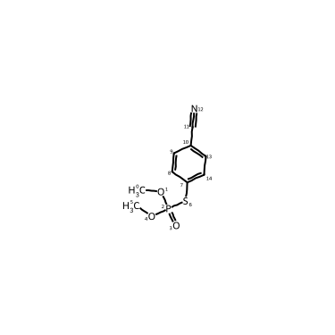 COP(=O)(OC)Sc1ccc(C#N)cc1